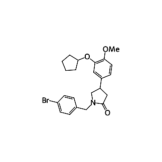 COc1ccc(C2CC(=O)N(Cc3ccc(Br)cc3)C2)cc1OC1CCCC1